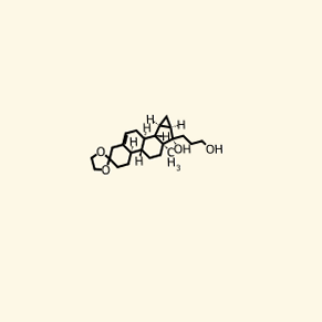 C[C@]12CC[C@H]3[C@@H](CC=C4CC5(CC[C@@H]43)OCCO5)[C@@H]1[C@H]1C[C@H]1[C@@]2(O)CCCO